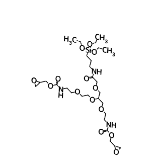 CCO[Si](CCCNC(=O)COCC(COCCNC(=O)OCC1CO1)OCCOCCNC(=O)OCC1CO1)(OCC)OCC